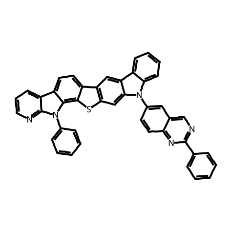 c1ccc(-c2ncc3cc(-n4c5ccccc5c5cc6c(cc54)sc4c6ccc5c6cccnc6n(-c6ccccc6)c54)ccc3n2)cc1